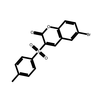 Cc1ccc(S(=O)(=O)c2cc3cc(Br)ccc3oc2=O)cc1